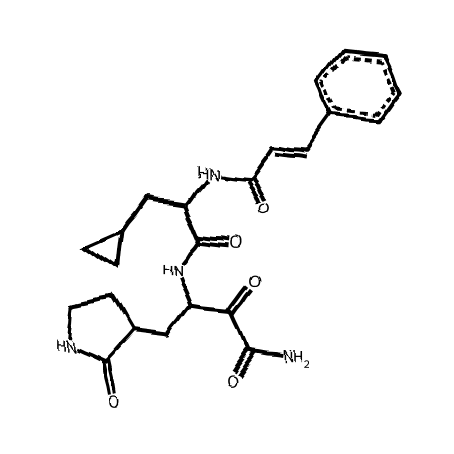 NC(=O)C(=O)C(CC1CCNC1=O)NC(=O)C(CC1CC1)NC(=O)C=Cc1ccccc1